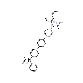 C=C/C(=C\C=C/C)N(/C(C)=C/C)c1ccc(-c2ccc(-c3ccc(N(/C(C)=C/C)c4ccccc4)cc3)cc2)cc1